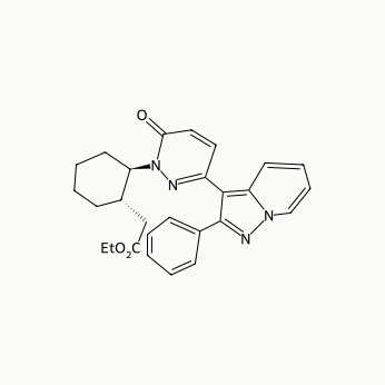 CCOC(=O)C[C@@H]1CCCC[C@H]1n1nc(-c2c(-c3ccccc3)nn3ccccc23)ccc1=O